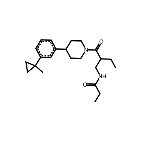 CCC(=O)NCC(CC)C(=O)N1CCC(c2cccc(C3(C)CC3)c2)CC1